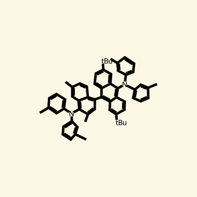 Cc1cccc(N(c2cccc(C)c2)c2c(C)cc(-c3c4cc(C(C)(C)C)ccc4c(N(c4cccc(C)c4)c4cccc(C)c4)c4cc(C(C)(C)C)ccc34)c3ccc(C)cc23)c1